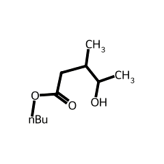 CCCCOC(=O)CC(C)C(C)O